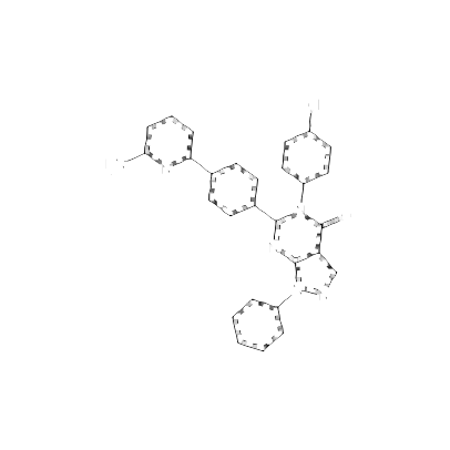 Nc1cccc(-c2ccc(-c3nc4c(cnn4-c4ccccc4)c(=O)n3-c3ccc(Cl)cc3)cc2)n1